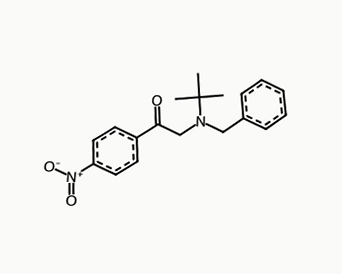 CC(C)(C)N(CC(=O)c1ccc([N+](=O)[O-])cc1)Cc1ccccc1